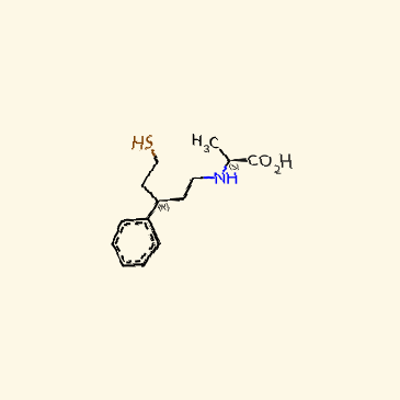 C[C@H](NCC[C@H](CCS)c1ccccc1)C(=O)O